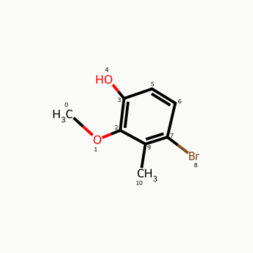 COc1c(O)ccc(Br)c1C